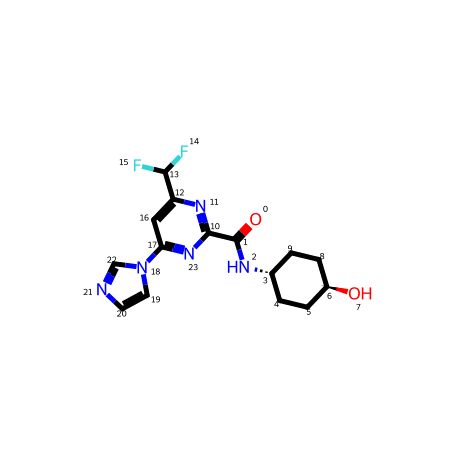 O=C(N[C@H]1CC[C@H](O)CC1)c1nc(C(F)F)cc(-n2ccnc2)n1